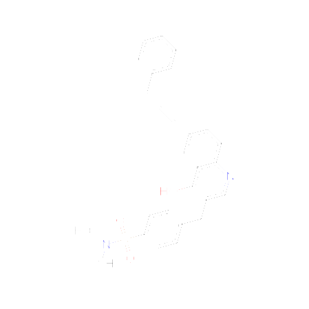 CN(C)S(=O)(=O)c1ccc(Cc2cnc3ccc(C#CCc4ccccc4)cc3c2O)cc1